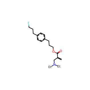 C=C(CN(CC)CC)C(=O)OCCCc1ccc(CCCF)cc1